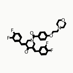 O=C1/C(=C/c2ccc(F)c(F)c2)CN(C(=O)c2ccc(OCCN3CCOCC3)cc2)C/C1=C\c1ccc(F)c(F)c1